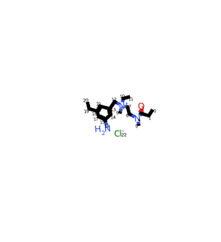 CCC(=O)N(C)CC[N+](C)(CC)Cc1cc(N)cc(CC)c1.[Cl-]